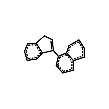 C1=C(c2cccc3ccccc23)c2ccccc2C1